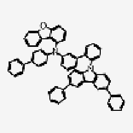 c1ccc(-c2ccc(N(c3cccc(-c4ccccc4-n4c5ccc(-c6ccccc6)cc5c5cc(-c6ccccc6)ccc54)c3)c3cccc4oc5ccccc5c34)cc2)cc1